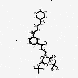 CC(C)(C)OC(=O)ON(CCC(=O)c1cccc(NCCCC2CCCCC2)c1)C(=O)OC(C)(C)C